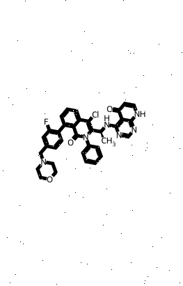 C[C@H](Nc1ncnc2[nH]ccc(=O)c12)c1c(Cl)c2cccc(-c3ccc(CN4CCOCC4)cc3F)c2c(=O)n1-c1ccccc1